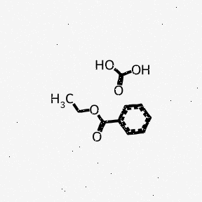 CCOC(=O)c1ccccc1.O=C(O)O